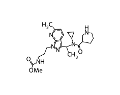 COC(=O)NCCCn1nc(C(C)N(C(=O)C2CCCNC2)C2CC2)c2ccc(C)nc21